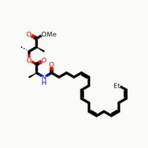 CC/C=C\C/C=C\C/C=C\C/C=C\C/C=C\CCCC(=O)N[C@@H](C)C(=O)O[C@H](C)[C@H](C)C(=O)OC